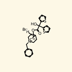 O=C(O[C@H]1C[N+]2(Cc3ccccc3)CCC1CC2)C(O)(c1cccs1)c1cccs1.[Br-]